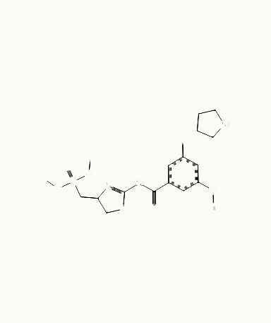 CCOP(=O)(CC1CSC(NC(=O)c2cc(OC(C)C)cc(O[C@@H]3CCNC3)c2)=N1)OCC